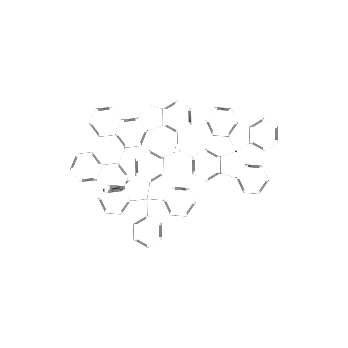 c1ccc(C2(c3ccccc3)c3ccccc3-c3ccc(N(c4ccc5c(c4)C(c4ccccc4)(c4ccccc4)c4ccccc4-5)c4cccc5oc6c7ccccc7c(-c7cccc8ccccc78)cc6c45)cc32)cc1